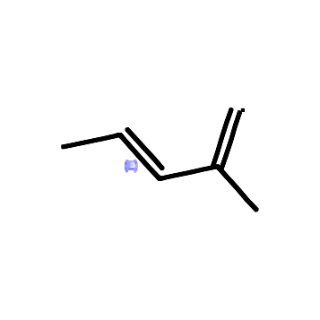 [CH]=C(C)/C=C/C